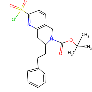 CC(C)(C)OC(=O)N1Cc2ccc(S(=O)(=O)Cl)nc2CC1CCc1ccccc1